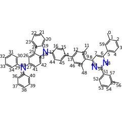 Cc1cccc(-c2cc(-c3c(C)cc(-c4ccc(-n5c6ccccc6c6cc(N(c7ccccc7)c7ccccc7)ccc65)cc4)cc3C)nc(-c3cccc(C)c3)n2)c1